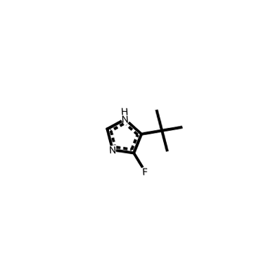 CC(C)(C)c1[nH]cnc1F